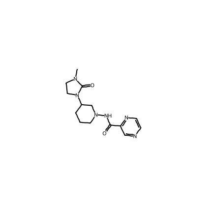 CN1CCN(C2CCCN(NC(=O)c3cnccn3)C2)C1=O